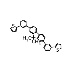 CC1(C)c2cc(-c3cccc(C4=CCCS4)c3)ccc2-c2ccc(-c3cccc(-c4cccs4)c3)cc21